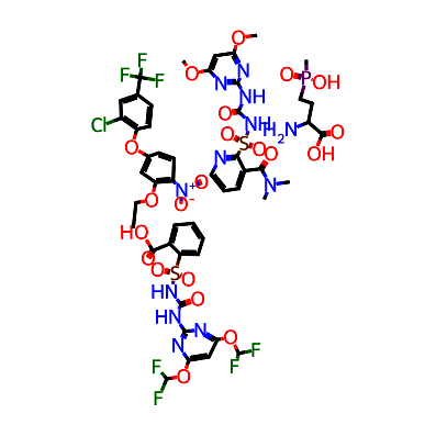 CCOc1cc(Oc2ccc(C(F)(F)F)cc2Cl)ccc1[N+](=O)[O-].COc1cc(OC)nc(NC(=O)NS(=O)(=O)c2ncccc2C(=O)N(C)C)n1.CP(=O)(O)CCC(N)C(=O)O.O=C(Nc1nc(OC(F)F)cc(OC(F)F)n1)NS(=O)(=O)c1ccccc1C(=O)O